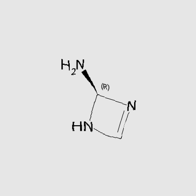 N[C@H]1N=CN1